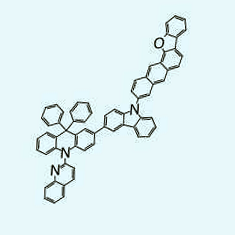 c1ccc(C2(c3ccccc3)c3ccccc3N(c3ccc4ccccc4n3)c3ccc(-c4ccc5c(c4)c4ccccc4n5-c4ccc5cc6c(ccc7c8ccccc8oc67)cc5c4)cc32)cc1